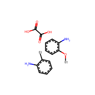 CCOc1ccccc1N.CCc1ccccc1N.O=C(O)C(=O)O